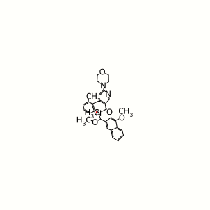 COc1cc(C(OC)N(C)C(=O)c2cnc(N3CCOCC3)cc2-c2ccccc2C)cc2ccccc12